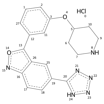 Cl.c1cc(OC2CCNCC2)cc(-c2onc3ccc(-c4nnn[nH]4)cc23)c1